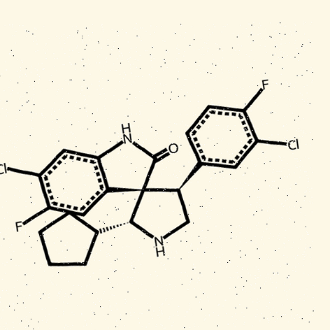 O=C1Nc2cc(Cl)c(F)cc2[C@]12[C@@H](c1ccc(F)c(Cl)c1)CN[C@@H]2C1CCCC1